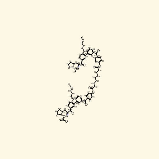 COCCCn1c2ccc(C(=O)/C(CC3CCCC3)=N/OC)cc2c2cc(C(=O)c3ccc(OC(=O)CCCCCCCC(=O)Oc4ccc(C(=O)c5ccc6c(c5)c5cc(C(=O)/C(CC7CCCC7)=N/OC(C)=O)ccc5n6CCCOC)cc4)cc3)ccc21